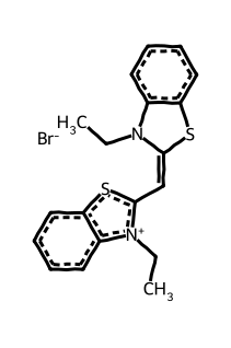 CCN1C(=Cc2sc3ccccc3[n+]2CC)Sc2ccccc21.[Br-]